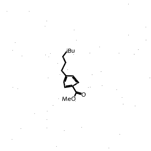 CCC(C)CCCc1ccc(C(=O)OC)cc1